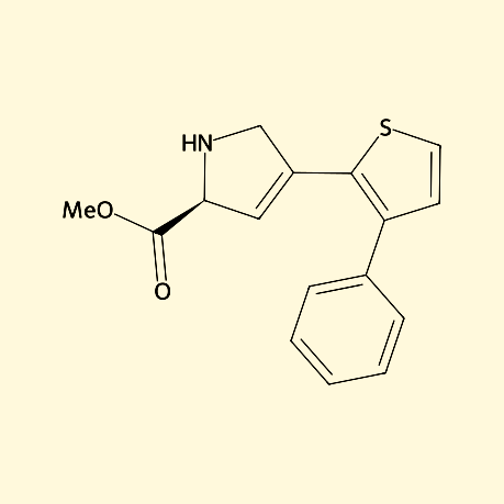 COC(=O)[C@@H]1C=C(c2sccc2-c2ccccc2)CN1